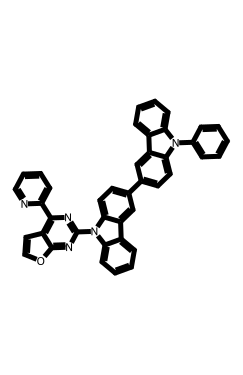 c1ccc(-n2c3ccccc3c3cc(-c4ccc5c(c4)c4ccccc4n5-c4nc(-c5ccccn5)c5ccoc5n4)ccc32)cc1